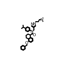 CC(C)c1ccc(N(Cc2cnn(CCCN(C)C)c2)C(=O)C2CCCc3c(OCc4ccccc4)cccc32)cc1